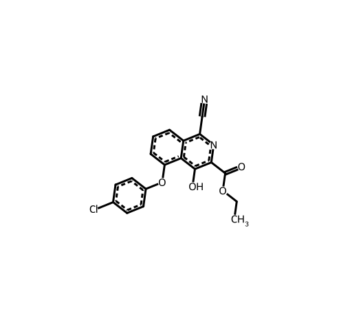 CCOC(=O)c1nc(C#N)c2cccc(Oc3ccc(Cl)cc3)c2c1O